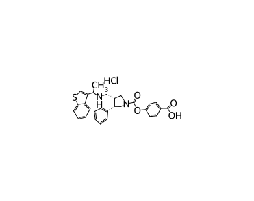 CC(NC[C@@H]1CN(C(=O)Oc2ccc(C(=O)O)cc2)C[C@@H]1c1ccccc1)c1csc2ccccc12.Cl